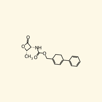 C[C@@H]1OC(=O)[C@@H]1NC(=O)OCC1=CC=C(c2ccccc2)CC1